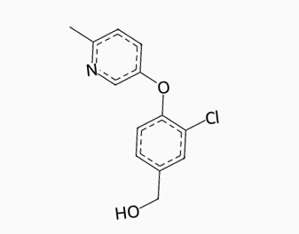 Cc1ccc(Oc2ccc(CO)cc2Cl)cn1